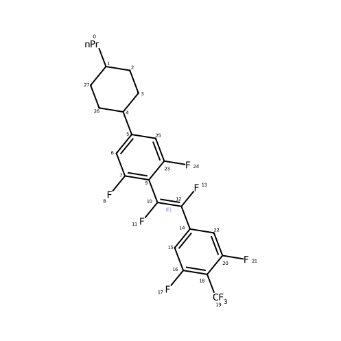 CCCC1CCC(c2cc(F)c(/C(F)=C(\F)c3cc(F)c(C(F)(F)F)c(F)c3)c(F)c2)CC1